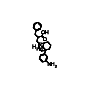 C[C@H]1C2CCCC1(c1cccc(N)c1)CCN2CC(Cc1ccccc1)C(=O)O